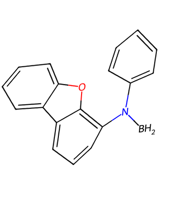 BN(c1ccccc1)c1cccc2c1oc1ccccc12